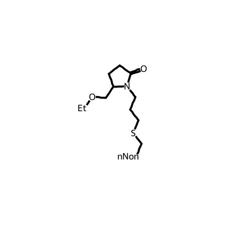 CCCCCCCCCCSCCCN1C(=O)CCC1COCC